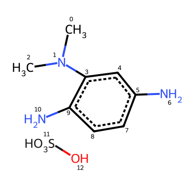 CN(C)c1cc(N)ccc1N.O=S(=O)(O)O